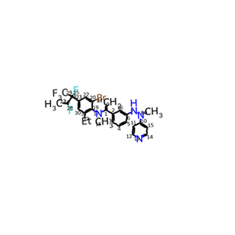 C=C(c1cccc(NN(C)c2ccncc2)c1)N(C)c1c(Br)cc(C(F)(C(C)F)C(F)(F)F)cc1CC